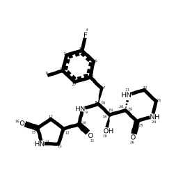 Cc1cc(F)cc(C[C@H](NC(=O)C2CNC(=O)C2)[C@H](O)[C@@H]2NCCNC2=O)c1